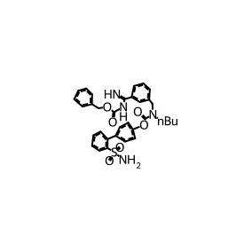 CCCCN(Cc1cccc(C(=N)NC(=O)OCc2ccccc2)c1)C(=O)Oc1ccc(-c2ccccc2S(N)(=O)=O)cc1